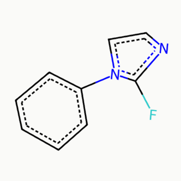 Fc1nccn1-c1ccccc1